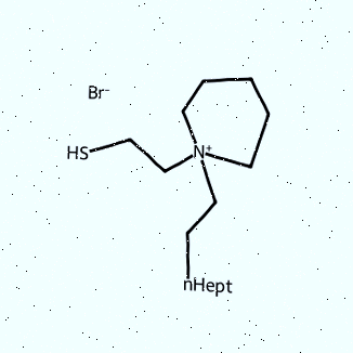 CCCCCCCCC[N+]1(CCS)CCCCC1.[Br-]